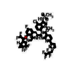 Cn1nc(NS(C)(=O)=O)c2c(Cl)ccc(-n3c([C@H](Cc4cc(F)cc(F)c4)NC(=O)Cn4nc(C(F)F)c5c4C(F)(F)[C@@H]4C[C@H]54)nc4nc(-c5ccn(CC(F)(F)C(F)F)n5)ccc4c3=O)c21